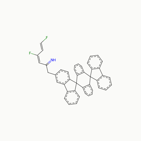 N=C(/C=C(F)\C=C\F)Cc1ccc2c(c1)-c1ccccc1C21c2ccccc2C2(c3ccccc3-c3ccccc32)c2ccccc21